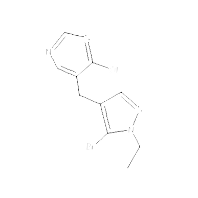 CCn1ncc(Cc2cncnc2O)c1Br